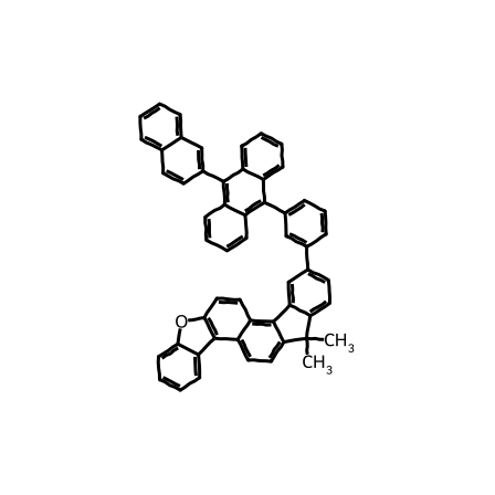 CC1(C)c2ccc(-c3cccc(-c4c5ccccc5c(-c5ccc6ccccc6c5)c5ccccc45)c3)cc2-c2c1ccc1c2ccc2oc3ccccc3c21